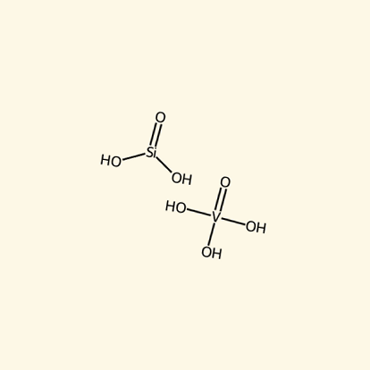 O=[Si](O)O.[O]=[V]([OH])([OH])[OH]